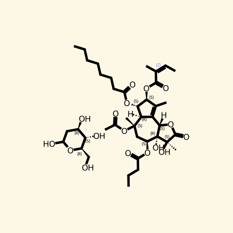 C/C=C(/C)C(=O)O[C@H]1C(C)=C2[C@H]([C@@H]1OC(=O)CCCCCCC)[C@@](C)(OC(C)=O)C[C@H](OC(=O)CCC)[C@@]1(O)[C@H]2OC(=O)[C@@]1(C)O.OC[C@H]1OC(O)C[C@@H](O)[C@@H]1O